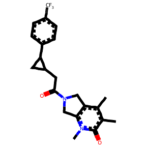 Cc1c2c(n(C)c(=O)c1C)CN(C(=O)CC1CC1c1ccc(C(F)(F)F)cc1)C2